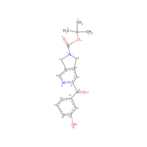 CC(C)(C)OC(=O)N1Cc2cnc(C(=O)c3cccc(O)c3)cc2C1